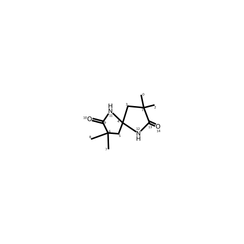 CC1(C)CC2(CC(C)(C)C(=O)N2)NC1=O